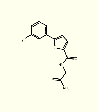 NC(=O)CNC(=O)c1ccc(-c2cccc(C(F)(F)F)c2)o1